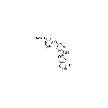 CC(=O)Nc1cc(Oc2ccc(NC(=O)Cc3ccccc3I)cc2)ncn1